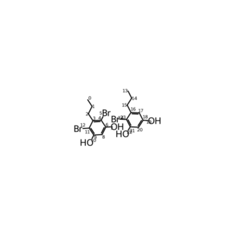 CCCc1c(Br)c(O)cc(O)c1Br.CCCc1cc(O)cc(O)c1Br